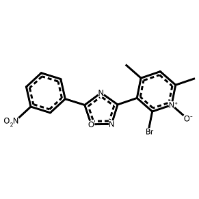 Cc1cc(C)[n+]([O-])c(Br)c1-c1noc(-c2cccc([N+](=O)[O-])c2)n1